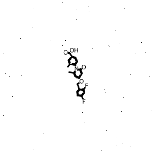 Cc1cc(C(=O)O)ccc1-n1c(C)cc(OCc2ccc(F)cc2F)cc1=O